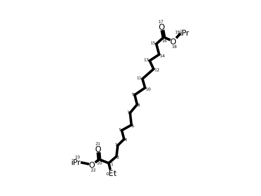 CCC(CCCCCCCCCCCCCCC(=O)OC(C)C)C(=O)OC(C)C